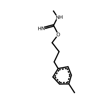 CNC(=N)OCCCc1ccc(C)cc1